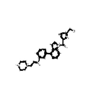 O=C(c1ncc(CCl)s1)n1ccc2c(-c3cccc(OCCN4CCOCC4)c3)cccc21